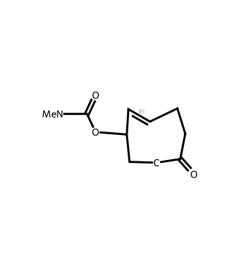 CNC(=O)OC1/C=C/CCC(=O)CC1